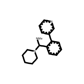 CNC(c1ccccc1-c1[c]nccc1)N1CCCCC1